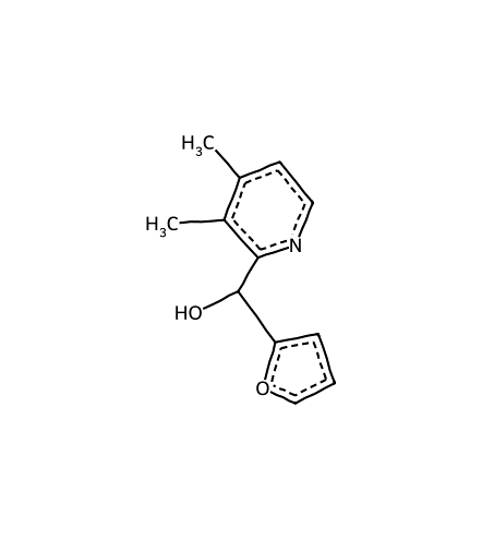 Cc1ccnc(C(O)c2ccco2)c1C